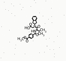 COC(=O)c1ccc(C(=O)N[C@H](C(=O)N(CC(=O)O)C2Cc3ccccc3C2)C(C)C)cc1